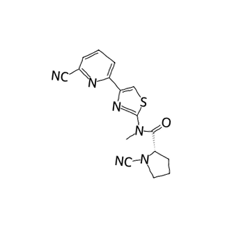 CN(C(=O)[C@@H]1CCCN1C#N)c1nc(-c2cccc(C#N)n2)cs1